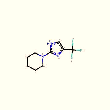 FC(F)(F)c1c[nH]c(N2CCCCC2)n1